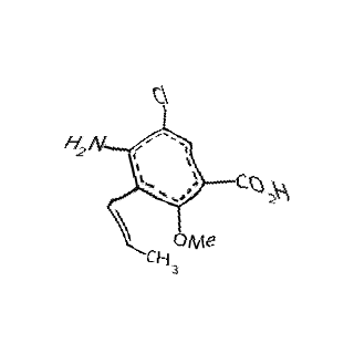 C/C=C\c1c(N)c(Cl)cc(C(=O)O)c1OC